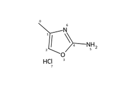 Cc1coc(N)n1.Cl